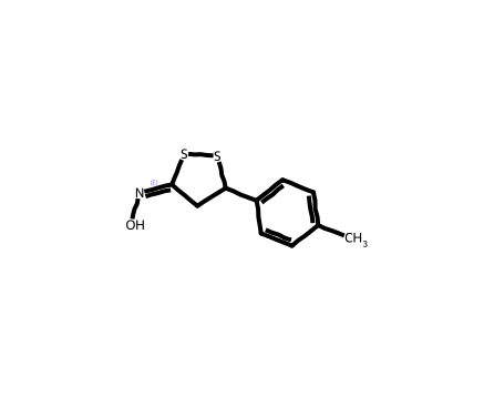 Cc1ccc(C2C/C(=N\O)SS2)cc1